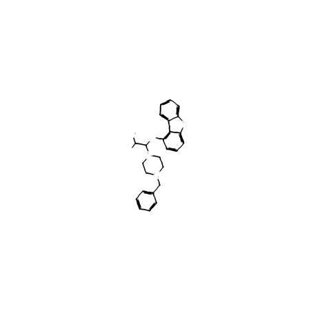 CC(O)C(Oc1cccc2[nH]c3ccccc3c12)N1CCN(Cc2ccccc2)CC1